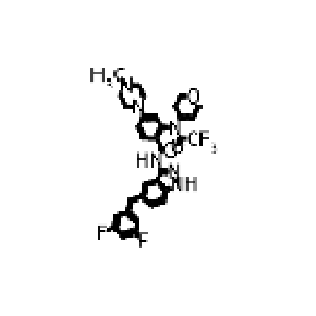 CN1CCN(c2ccc(C(=O)NC3=NNC4C=CC(Cc5cc(F)cc(F)c5)=CC34)c(N(C(=O)C(F)(F)F)C3CCOCC3)c2)CC1